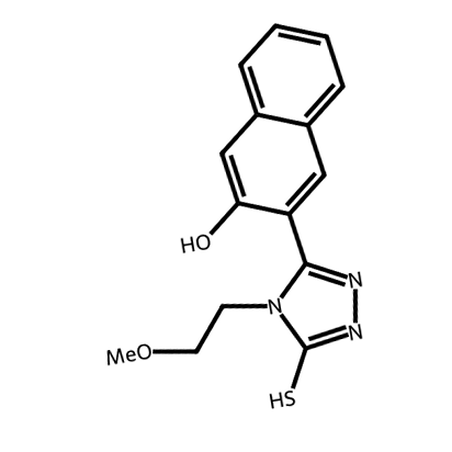 COCCn1c(S)nnc1-c1cc2ccccc2cc1O